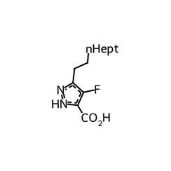 CCCCCCCCCc1n[nH]c(C(=O)O)c1F